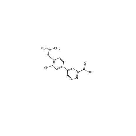 CC(C)Oc1ccc(-c2ccnc(C(O)=S)c2)cc1Cl